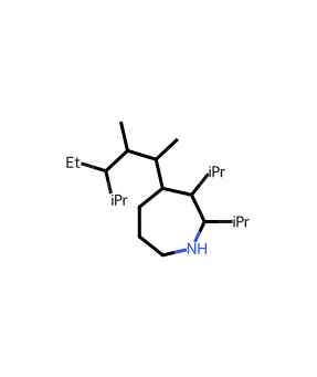 CCC(C(C)C)C(C)C(C)C1CCCNC(C(C)C)C1C(C)C